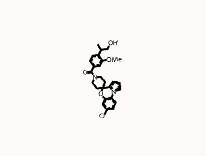 COc1cc(C(=O)N2CCC3(CC2)Oc2cc(Cl)ccc2-n2cccc23)ccc1C(C)CO